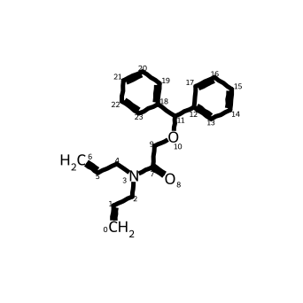 C=CCN(CC=C)C(=O)COC(c1ccccc1)c1ccccc1